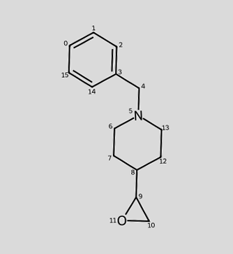 c1ccc(CN2CCC(C3CO3)CC2)cc1